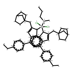 CCC[SiH](C)[Zr]([Cl])([Cl])([CH]1C(CC23CCC(CC2)C3)=Cc2c(-c3ccc(CC)cc3)cccc21)[CH]1C(CC23CCC(CC2)C3)=Cc2c(-c3ccc(CC)cc3)cccc21